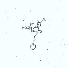 CC(C)[C@H](NO)C(=O)N[C@@H](CCCCN1CCCCC1)C(=O)NCC(=O)C1CC1